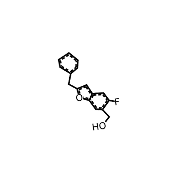 OCc1cc2oc(Cc3ccccc3)cc2cc1F